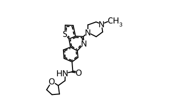 CN1CCN(c2nc3cc(C(=O)NCC4CCCO4)ccc3c3sccc23)CC1